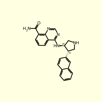 NC(=O)c1cccc2c(N[C@H]3CNC[C@@H]3c3ccc4ccccc4c3)ncnc12